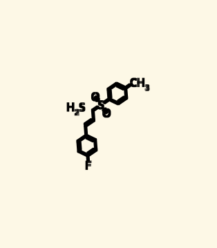 Cc1ccc(S(=O)(=O)CC=Cc2ccc(F)cc2)cc1.S